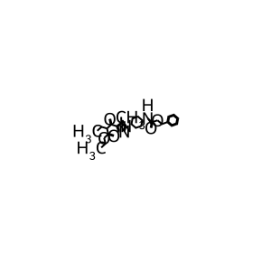 CCOC(=O)C(CC)C(=O)c1cnn([C@H]2CC[C@H](NC(=O)OCc3ccccc3)CC2)c1C